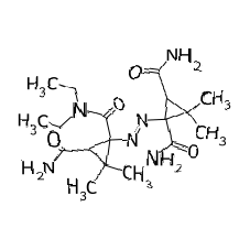 CCN(CC)C(=O)C1(N=NC2(C(N)=O)C(C(N)=O)C2(C)C)C(C(N)=O)C1(C)C